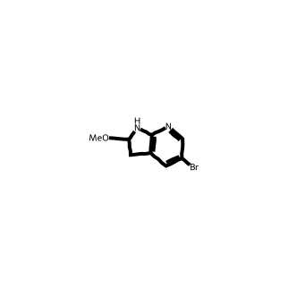 COC1Cc2cc(Br)cnc2N1